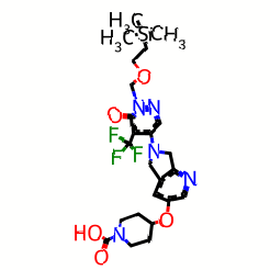 C[Si](C)(C)CCOCn1ncc(N2Cc3cc(OC4CCN(C(=O)O)CC4)cnc3C2)c(C(F)(F)F)c1=O